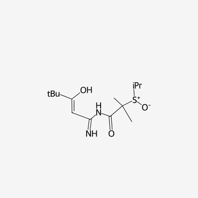 CC(C)[S+]([O-])C(C)(C)C(=O)NC(=N)/C=C(\O)C(C)(C)C